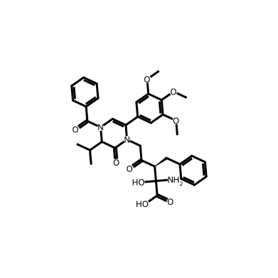 COc1cc(C2=CN(C(=O)c3ccccc3)C(C(C)C)C(=O)N2CC(=O)[C@@H](Cc2ccccc2)C(N)(O)C(=O)O)cc(OC)c1OC